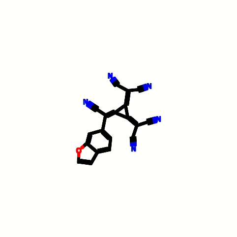 N#CC(C#N)=C1C(=C(C#N)C#N)C1=C(C#N)c1ccc2ccoc2c1